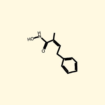 CC(=CCc1ccccc1)C(=O)NO